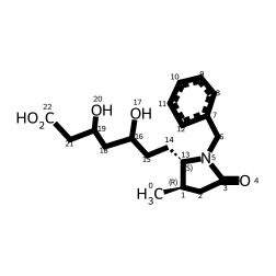 C[C@@H]1CC(=O)N(Cc2ccccc2)[C@H]1CCC(O)CC(O)CC(=O)O